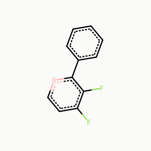 Fc1ccbc(-c2ccccc2)c1F